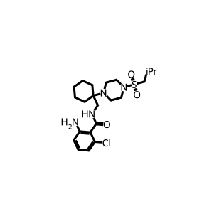 CC(C)CS(=O)(=O)N1CCN(C2(CNC(=O)c3c(N)cccc3Cl)CCCCC2)CC1